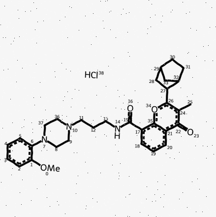 COc1ccccc1N1CCN(CCCNC(=O)c2cccc3c(=O)c(C)c(C4CC5CCC4C5)oc23)CC1.Cl